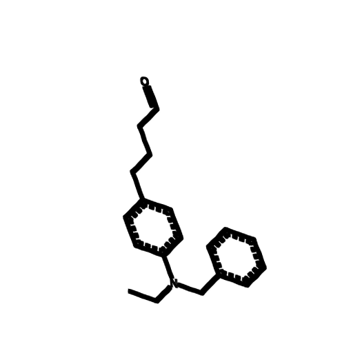 CCN(Cc1ccccc1)c1ccc(CCCC=O)cc1